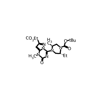 CCOC(=O)c1cc2n(C)c(=O)nc(N3C[C@@H](CC)N(C(=O)OC(C)(C)C)C[C@@H]3C)n2n1